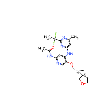 CC(=O)Nc1cc(Nc2cc(C)nc(C(C)(F)F)n2)c(OC[C@@H]2C[C@@]23CCOC3)cn1